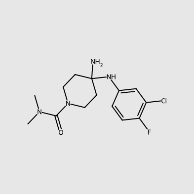 CN(C)C(=O)N1CCC(N)(Nc2ccc(F)c(Cl)c2)CC1